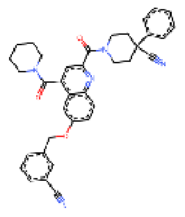 N#Cc1cccc(COc2ccc3nc(C(=O)N4CCC(C#N)(c5ccccc5)CC4)cc(C(=O)N4CCCCC4)c3c2)c1